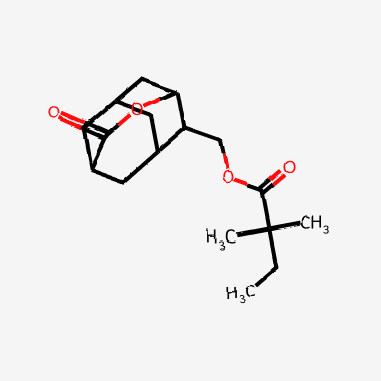 CCC(C)(C)C(=O)OCC1C2CC3CC(C2)C(=O)OC1C3